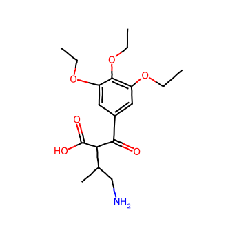 CCOc1cc(C(=O)C(C(=O)O)C(C)CN)cc(OCC)c1OCC